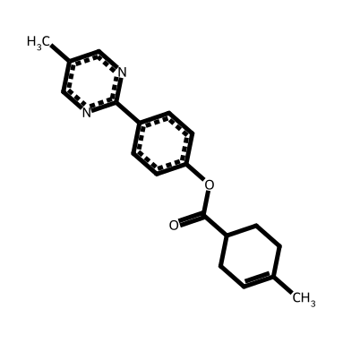 CC1=CCC(C(=O)Oc2ccc(-c3ncc(C)cn3)cc2)CC1